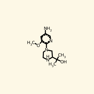 COc1cc(N)cnc1N1CCNC(C(C)(C)O)C1